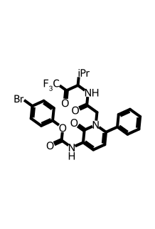 CC(C)C(NC(=O)Cn1c(-c2ccccc2)ccc(NC(=O)Oc2ccc(Br)cc2)c1=O)C(=O)C(F)(F)F